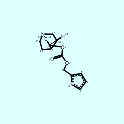 O=C(OCc1cccs1)O[C@H]1CN2CCC1CC2